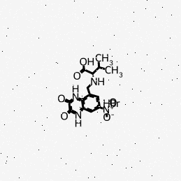 Br.CC(C)[C@H](NCc1cc([N+](=O)[O-])cc2[nH]c(=O)c(=O)[nH]c12)C(=O)O